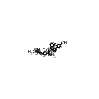 C#Cc1ccc(-c2cnc([C@@H](NC(=O)C(N)c3ccc(OCCOC(C)(C)C)cc3)[C@@H](C)c3ccccc3)[nH]2)c(F)c1